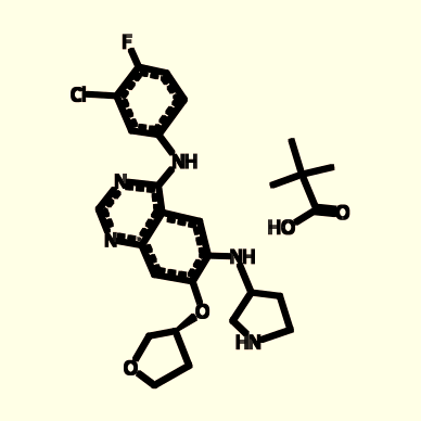 CC(C)(C)C(=O)O.Fc1ccc(Nc2ncnc3cc(O[C@H]4CCOC4)c(NC4CCNC4)cc23)cc1Cl